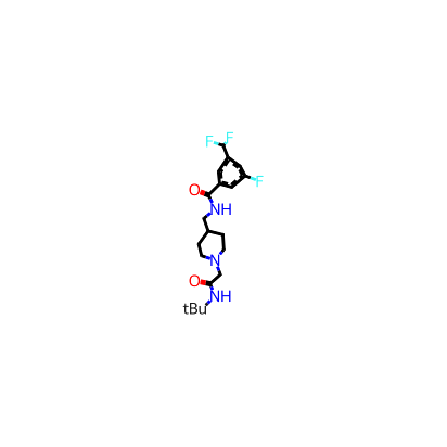 CC(C)(C)NC(=O)CN1CCC(CNC(=O)c2cc(F)cc(C(F)F)c2)CC1